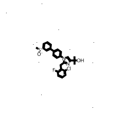 C[S+]([O-])c1cccc(-c2ccc(-n3cc(C(C)(C)O)nc3Cc3c(F)cccc3Cl)cc2)c1